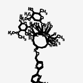 CC[C@H]1OC(=O)[C@H](C)[C@@H](O[C@H]2C[C@@](C)(OC)[C@@H](O)[C@H](C)O2)[C@H](C)[C@@H](O[C@@H]2O[C@H](C)C[C@H](N(C)C)[C@H]2O)[C@]2(C)CC/C(=N/OCc3ccc(-c4cccc(N)n4)s3)CC[C@H]([C@@H](C)CN[C@H](C)C2)[C@]1(C)O